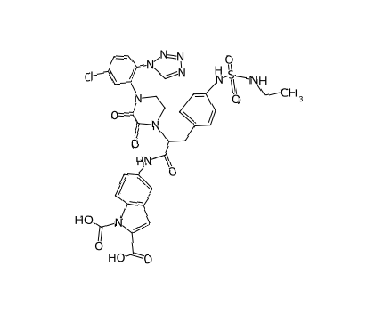 CCNS(=O)(=O)Nc1ccc(CC(C(=O)Nc2ccc3c(c2)cc(C(=O)O)n3C(=O)O)N2CCN(c3cc(Cl)ccc3-n3cnnn3)C(=O)C2=O)cc1